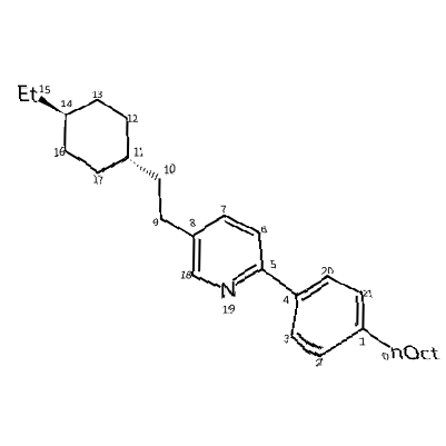 CCCCCCCCc1ccc(-c2ccc(CC[C@H]3CC[C@H](CC)CC3)cn2)cc1